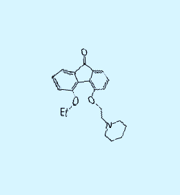 CCOc1cccc2c1-c1c(OCCN3CCCCC3)cccc1C2=O